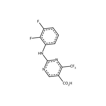 O=C(O)c1cnc(Nc2cccc(F)c2F)nc1C(F)(F)F